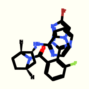 O=C(c1cccc(F)c1-c1ncccn1)N1[C@@H]2CC[C@H]1[C@H](Nc1nccn3cc(Br)nc13)C2